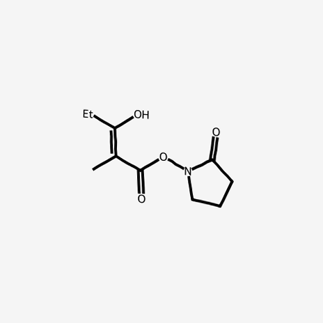 CCC(O)=C(C)C(=O)ON1CCCC1=O